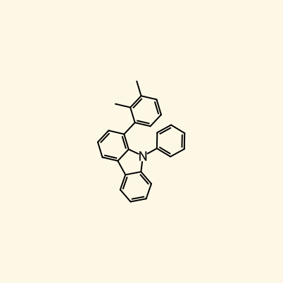 Cc1cccc(-c2cccc3c4ccccc4n(-c4ccccc4)c23)c1C